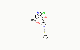 COc1ccc2ncc(Cl)c([C@@H](O)CCC3(CO)CCN(CCCSC4CCCCC4)CC3)c2c1